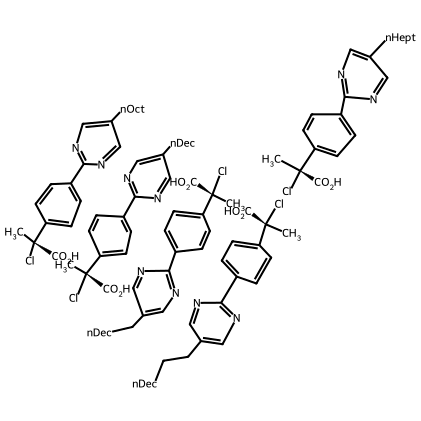 CCCCCCCCCCCCc1cnc(-c2ccc([C@@](C)(Cl)C(=O)O)cc2)nc1.CCCCCCCCCCCc1cnc(-c2ccc([C@@](C)(Cl)C(=O)O)cc2)nc1.CCCCCCCCCCc1cnc(-c2ccc([C@@](C)(Cl)C(=O)O)cc2)nc1.CCCCCCCCc1cnc(-c2ccc([C@@](C)(Cl)C(=O)O)cc2)nc1.CCCCCCCc1cnc(-c2ccc([C@@](C)(Cl)C(=O)O)cc2)nc1